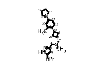 CCCc1cc(CN(C)C[C@H]2C[C@H](c3ccc(N4CCCC4)cc3C)C2)n[nH]1